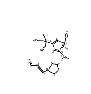 O=CC=CN1CC[C@@H](Nc2cc(Cl)cc(C(F)(F)F)c2)C1